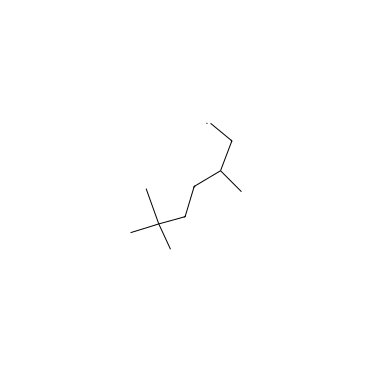 [CH2]CC(C)CCC(C)(C)C